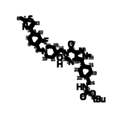 Cc1nc(-c2ccc(CN3CCC(O)(Cn4cnc5c(-c6ccc(CNC(=O)OC(C)(C)C)cc6)n(C)nc5c4=O)CC3)c(F)c2)cs1